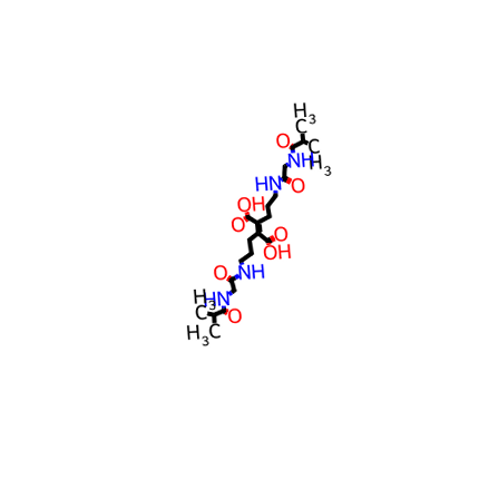 CC(C)C(=O)NCC(=O)NCCC/C(C(=O)O)=C(/CCCNC(=O)CNC(=O)C(C)C)C(=O)O